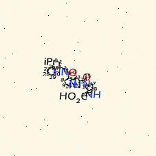 CC(C)CC(CNC(=O)c1cccn2nc(C(=O)N3CCC(NC(=O)O)C3)cc12)c1ccccc1